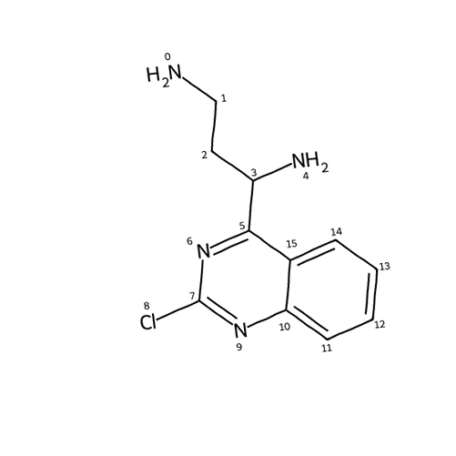 NCCC(N)c1nc(Cl)nc2ccccc12